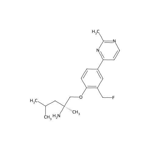 Cc1nccc(-c2ccc(OC[C@@](C)(N)CC(C)C)c(CF)c2)n1